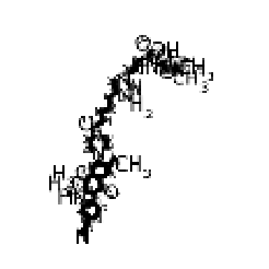 CCc1cc2c(cc1N1CCN(C(=O)CCCCc3cn(CCC[C@H](NC(=O)OC(C)(C)C)C(=O)O)c(N)n3)CC1)C(C)(C)c1[nH]c3cc(C#N)ccc3c1C2=O